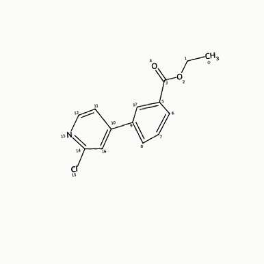 CCOC(=O)c1cccc(-c2ccnc(Cl)c2)c1